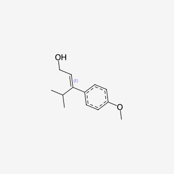 COc1ccc(/C(=C/CO)C(C)C)cc1